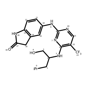 CC(C)CC(CO)Nc1nc(Nc2ccc3c(c2)CC(=O)N3)ncc1C(F)(F)F